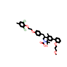 COCCCOc1ccccc1-c1ccc(C(Cc2ccc(OCCOc3c(Cl)cc(C)cc3Cl)cc2)CN(C(=O)O)C(C)(C)C)c(C)c1